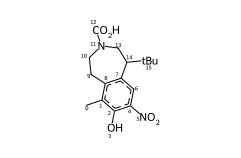 Cc1c(O)c([N+](=O)[O-])cc2c1CCN(C(=O)O)CC2C(C)(C)C